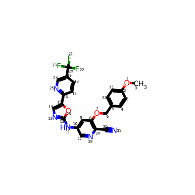 COc1ccc(COc2cc(Nc3ncc(-c4ccc(C(F)(F)F)cn4)o3)cnc2C#N)cc1